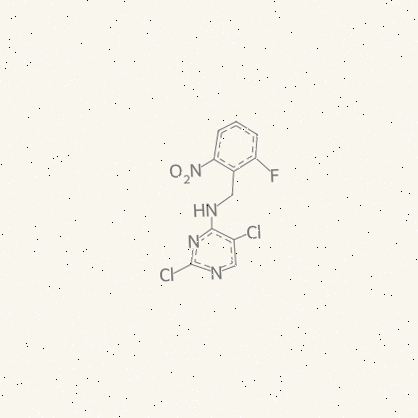 O=[N+]([O-])c1cccc(F)c1CNc1nc(Cl)ncc1Cl